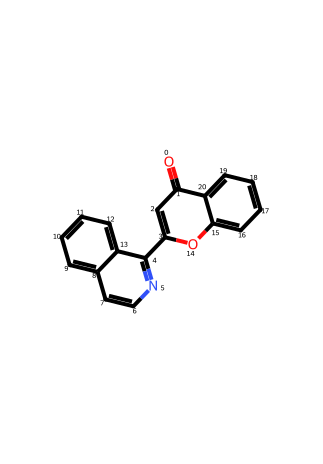 O=c1cc(-c2nccc3ccccc23)oc2ccccc12